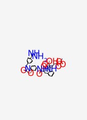 CC(=O)OC(=O)CC[C@H](NC(=O)C(Cc1ccccc1)C(=O)Nc1ccc2c(c1)OCC(=O)N2Cc1ccc(C(=N)N)cc1)C(=O)O